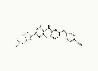 Cc1cc(C2=NC(CN(C)C)NO2)cc(C)c1Nc1ccnc(Nc2ccc(C#N)cc2)n1